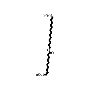 CCCCCC=CCC=CCCCCCCCCOC(=O)CCCCCCC/C=C\CCCCCCCC